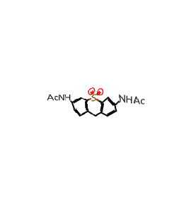 CC(=O)Nc1ccc2c(c1)S(=O)(=O)c1cc(NC(C)=O)ccc1C2